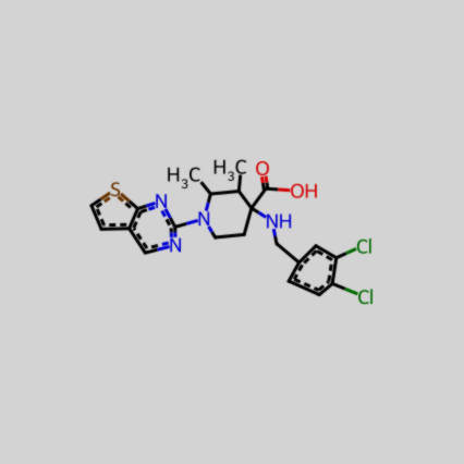 CC1C(C)C(NCc2ccc(Cl)c(Cl)c2)(C(=O)O)CCN1c1ncc2ccsc2n1